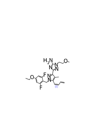 C=C/C=C\c1c(C)c(-c2nc(N)n(CCOC)n2)nn1Cc1c(F)cc(OCC)cc1F